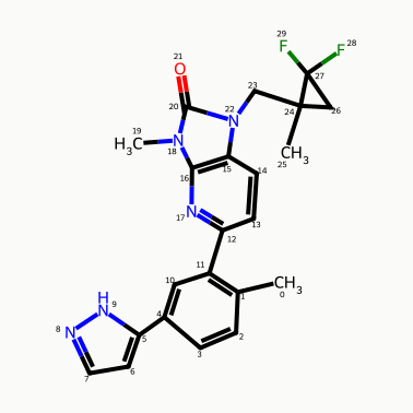 Cc1ccc(-c2ccn[nH]2)cc1-c1ccc2c(n1)n(C)c(=O)n2CC1(C)CC1(F)F